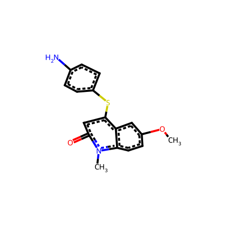 COc1ccc2c(c1)c(Sc1ccc(N)cc1)cc(=O)n2C